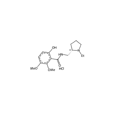 CCN1CCC[C@H]1CNC(=O)c1c(O)ccc(OC)c1OC.Cl